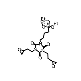 CCO[Si](CCCCn1c(=O)n(CCC2CO2)c(=O)n(CCC2CO2)c1=O)(OCC)OCC